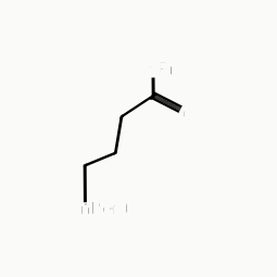 [CH2]CCCCCCCC(=O)CCC